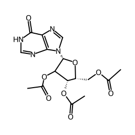 CC(=O)OC[C@H]1O[C@@H](n2cnc3c(=O)[nH]cnc32)C(OC(C)=O)[C@H]1OC(C)=O